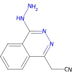 N#CCc1nnc(NN)c2ccccc12